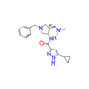 CN(C)C[C@@H]1CN(Cc2ccccc2)CC1NC(=O)c1cc(C2CC2)[nH]n1